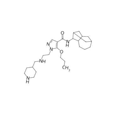 CCCOc1c(C(=O)NC2C3CC4CCCC2C(C4)C3)cnn1CCNCC1CCNCC1